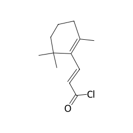 CC1=C(C=CC(=O)Cl)C(C)(C)CCC1